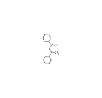 [O-][S+](C=C(c1ccccc1)C(F)(F)F)c1ccccc1